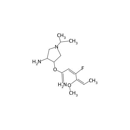 C\C=C(OC)/C(F)=C\C(=C/N)OC1CN(C(C)C)CC1N